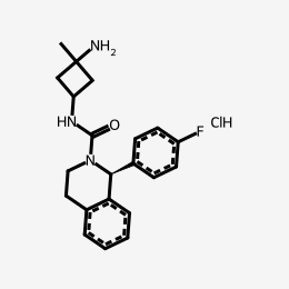 CC1(N)CC(NC(=O)N2CCc3ccccc3[C@@H]2c2ccc(F)cc2)C1.Cl